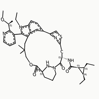 CC[C@@H]1[C@H](CC)[C@@H]1C(=O)N[C@H]1Cc2nc(cs2)-c2ccc3c(c2)c(c(-c2cccnc2[C@H](C)OC)n3CC)CC(C)(C)COC(=O)[C@@H]2CCCN(N2)C1=O